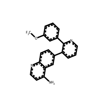 Nc1ccnc2ccc(-c3cccnc3-c3cccc(OC(F)(F)F)c3)cc12